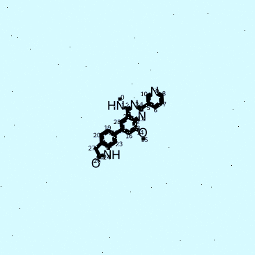 CNc1nc(-c2cccnc2)nc2c(OC)cc(-c3ccc4c(c3)NC(=O)C4)cc12